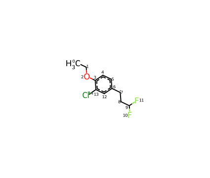 CCOc1ccc([CH]CC(F)F)cc1Cl